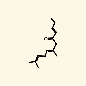 CCC=CC(=O)CC(C)=CCC=C(C)C